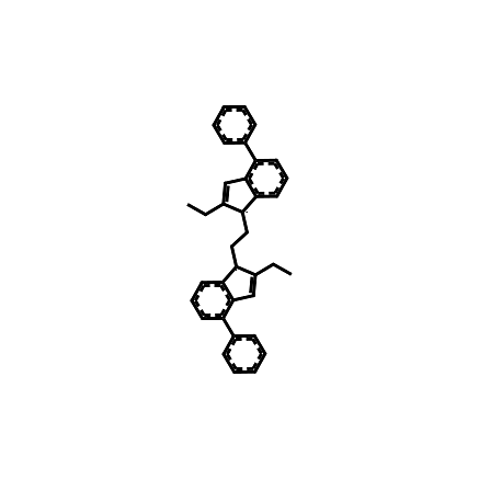 CCC1=Cc2c(cccc2-c2ccccc2)[C]1CC[C]1C(CC)=Cc2c1cccc2-c1ccccc1